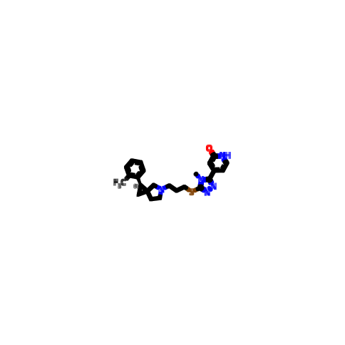 Cn1c(SCCCN2CCC3(C[C@H]3c3ccccc3C(F)(F)F)C2)nnc1-c1cc[nH]c(=O)c1